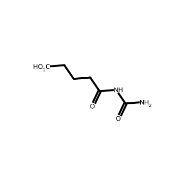 NC(=O)NC(=O)CCCC(=O)O